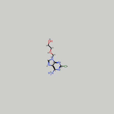 Nc1nc(Cl)nc2c1ncn2COCCO